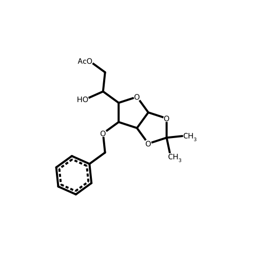 CC(=O)OCC(O)C1OC2OC(C)(C)OC2C1OCc1ccccc1